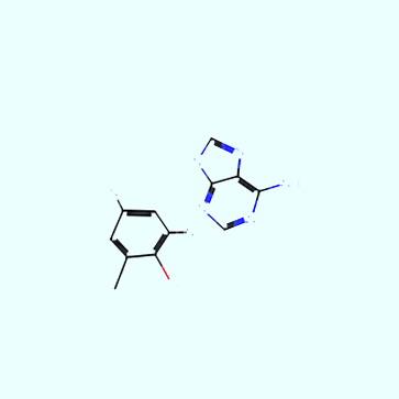 Cc1cc([N+](=O)[O-])cc([N+](=O)[O-])c1O.Nc1ncnc2[nH]cnc12